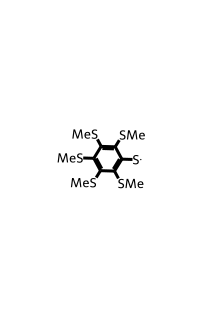 CSc1c([S])c(SC)c(SC)c(SC)c1SC